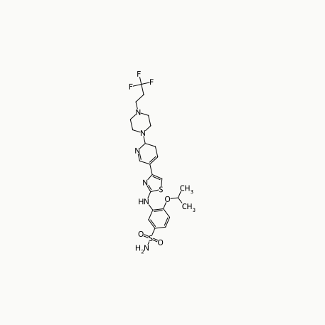 CC(C)Oc1ccc(S(N)(=O)=O)cc1Nc1nc(C2=CCC(N3CCN(CCC(F)(F)F)CC3)N=C2)cs1